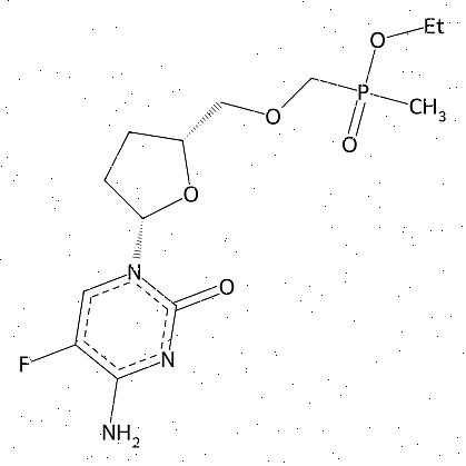 CCOP(C)(=O)COC[C@H]1CC[C@@H](n2cc(F)c(N)nc2=O)O1